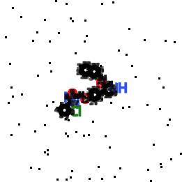 Clc1ccccc1-c1noc(COc2ccc(C3CCNCC3OCc3ccc4ccccc4c3)cc2)n1